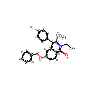 CC(C)Cn1c(C(=O)O)c(-c2ccc(F)cc2)c2cc(OCc3ccccc3)ccc2c1=O